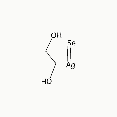 OCCO.[Se]=[Ag]